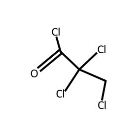 O=C(Cl)C(Cl)(Cl)CCl